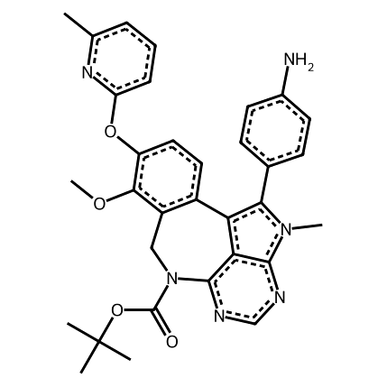 COc1c(Oc2cccc(C)n2)ccc2c1CN(C(=O)OC(C)(C)C)c1ncnc3c1c-2c(-c1ccc(N)cc1)n3C